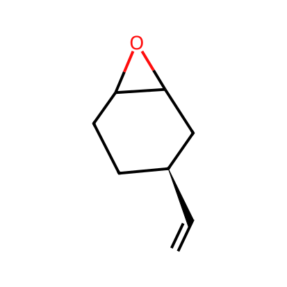 C=C[C@H]1CCC2OC2C1